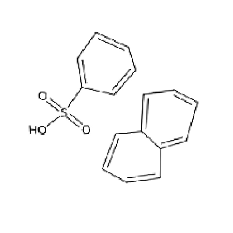 O=S(=O)(O)c1ccccc1.c1ccc2ccccc2c1